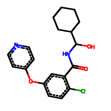 O=C(NC(O)C1CCCCC1)c1cc(Oc2ccncc2)ccc1Cl